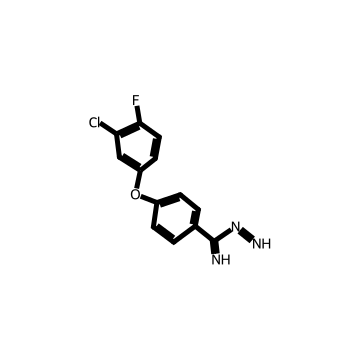 N=NC(=N)c1ccc(Oc2ccc(F)c(Cl)c2)cc1